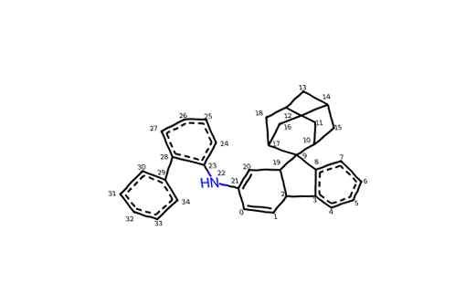 C1=CC2c3ccccc3C3(C4CC5CC(C4)CC3C5)C2C=C1Nc1ccccc1-c1ccccc1